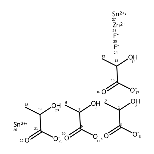 CC(O)C(=O)[O-].CC(O)C(=O)[O-].CC(O)C(=O)[O-].CC(O)C(=O)[O-].[F-].[F-].[Sn+2].[Sn+2].[Zn+2]